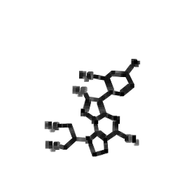 CCC(CC)N1CCc2c(C)nc3c(-c4ccc(Br)cc4C)c(C)nn3c21